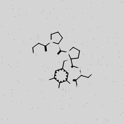 COc1cc(C[C@]2(C(=O)N[C@H](C(N)=O)[C@@H](C)O)CCCN2C(=O)[C@@H]2CCCN2C(=O)[C@@H](N)[C@@H](C)O)cc(OC)c1OC